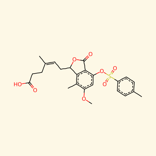 COc1cc(OS(=O)(=O)c2ccc(C)cc2)c2c(c1C)C(CC=C(C)CCC(=O)O)OC2=O